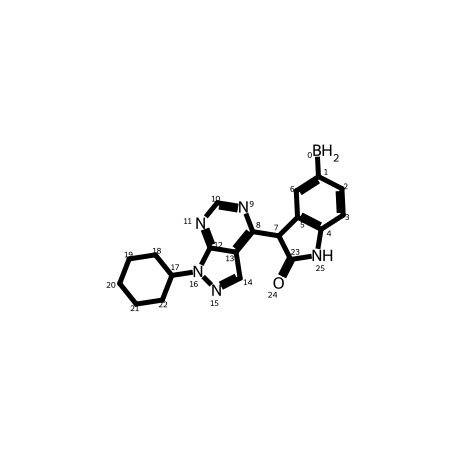 Bc1ccc2c(c1)C(c1ncnc3c1cnn3C1CCCCC1)C(=O)N2